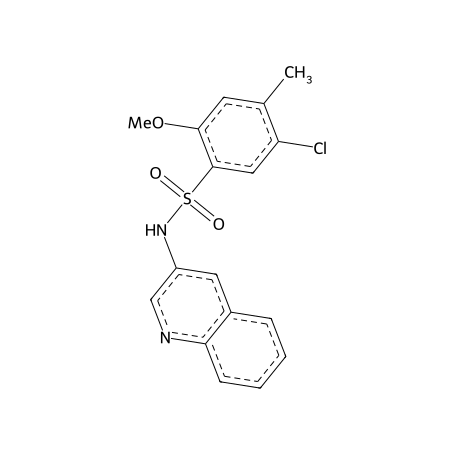 COc1cc(C)c(Cl)cc1S(=O)(=O)Nc1cnc2ccccc2c1